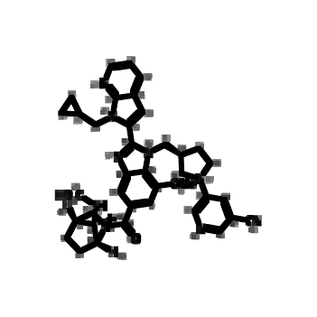 COc1cc(C(=O)N2C[C@H]3CC[C@@H]2[C@@H]3NC(=O)O)cc2nc(-c3cc4cccnc4n3CC3CC3)n(C[C@H]3CCN(c4cncc(C#N)c4)C3)c12